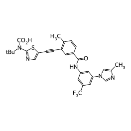 Cc1cn(-c2cc(NC(=O)c3ccc(C)c(C#Cc4cnc(N(C(=O)O)C(C)(C)C)s4)c3)cc(C(F)(F)F)c2)cn1